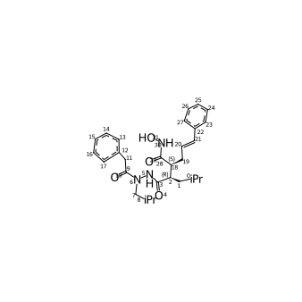 CC(C)C[C@@H](C(=O)NN(CC(C)C)C(=O)Cc1ccccc1)[C@H](CC=Cc1ccccc1)C(=O)NO